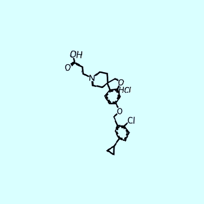 Cl.O=C(O)CCN1CCC2(CC1)COc1cc(OCc3cc(C4CC4)ccc3Cl)ccc12